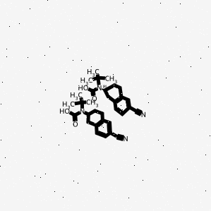 CC(C)(C)N(C(=O)O)C1CCc2cc(C#N)ccc2C1.CC(C)(C)N(C(=O)O)[C@@H]1CCc2cc(C#N)ccc2C1